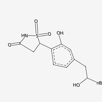 CCCCC(O)Cc1ccc(C2CC(=O)NS2(=O)=O)c(O)c1